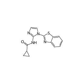 O=C(Nc1nccn1-c1nc2ccccc2s1)C1CC1